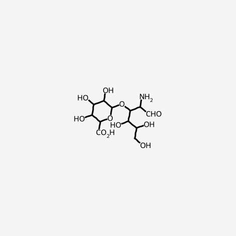 NC(C=O)C(OC1OC(C(=O)O)C(O)C(O)C1O)C(O)C(O)CO